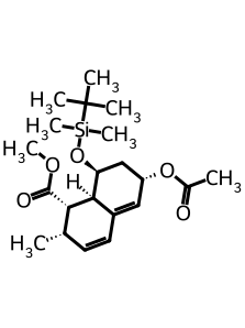 COC(=O)[C@@H]1[C@@H]2C(=C[C@@H](OC(C)=O)C[C@@H]2O[Si](C)(C)C(C)(C)C)C=C[C@@H]1C